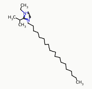 CCCCCCCCCCCCCCCCCCCn1cc[n+](CC)c1C(C)C